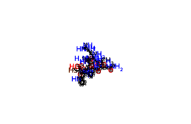 C[C@H](NC(=O)[C@H](CS)NC(=O)[C@@H](N)CCCNC(=N)N)C(=O)N[C@@H](CCCNC(N)=O)C(=O)N[C@H](Cc1ccccc1)C(=O)N[C@@H](CCCNC(=N)N)C(=O)N[C@@H](Cc1c[nH]c2ccccc12)C(=O)N[C@@H](CS)C(=O)O